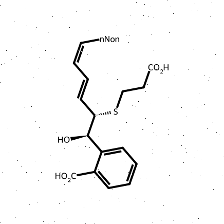 CCCCCCCCC/C=C\C=C\[C@H](SCCC(=O)O)[C@H](O)c1ccccc1C(=O)O